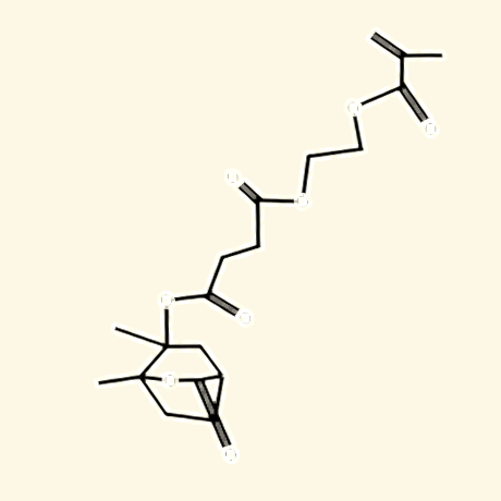 C=C(C)C(=O)OCCOC(=O)CCC(=O)OC1(C)CC2CCC1(C)OC2=O